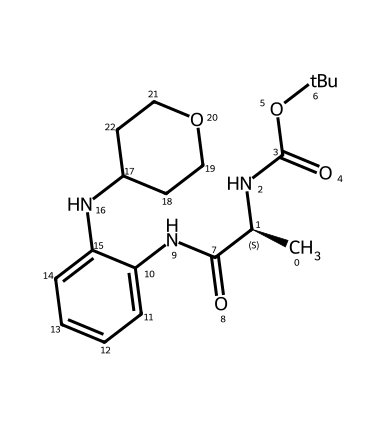 C[C@H](NC(=O)OC(C)(C)C)C(=O)Nc1ccccc1NC1CCOCC1